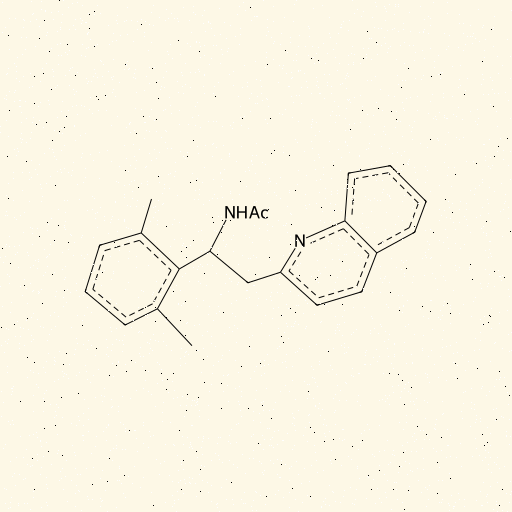 CC(=O)NC(Cc1ccc2ccccc2n1)c1c(C)cccc1C